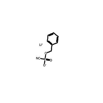 N#CP(=O)([O-])OCc1ccccc1.[Li+]